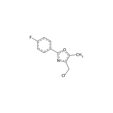 Cc1oc(-c2ccc(F)cc2)nc1CCl